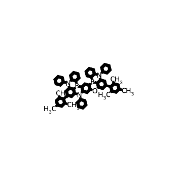 Cc1cc(C)c(-c2cc3c4c(c2)N(c2ccccc2)c2ccccc2B4c2cc4c(cc2O3)N(c2ccccc2)c2cc(-c3c(C)cc(C)cc3C)cc3c2B4c2ccccc2N3c2ccccc2)c(C)c1